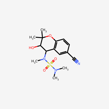 CN(C)S(=O)(=O)N(C)C1c2cc(C#N)ccc2OC(C)(C)C1O